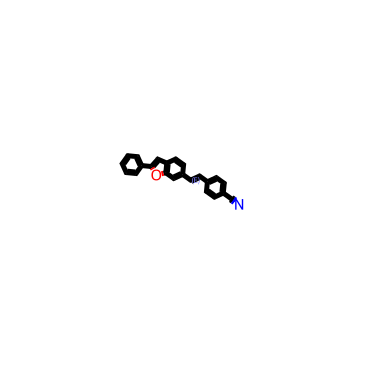 N#Cc1ccc(/C=C/c2ccc3cc(-c4ccccc4)oc3c2)cc1